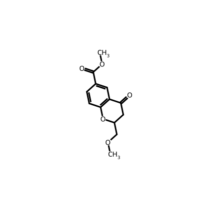 COCC1CC(=O)c2cc(C(=O)OC)ccc2O1